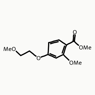 COCCOc1ccc(C(=O)OC)c(OC)c1